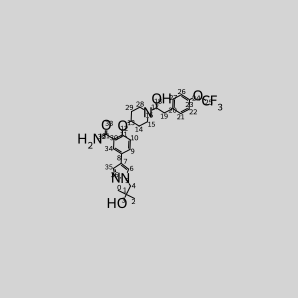 CC(C)(O)Cn1cc(-c2ccc(OC3CCN(C(O)Cc4ccc(OC(F)(F)F)cc4)CC3)c(C(N)=O)c2)cn1